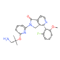 COc1cccc(F)c1-c1nccc2c1CN(c1cccc(OC(C)(C)CN)n1)C2=O